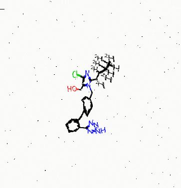 [2H]C(c1nc(Cl)c(CO)n1Cc1ccc(-c2ccccc2-c2nn[nH]n2)cc1)C([2H])([2H])C([2H])([2H])C([2H])([2H])[2H]